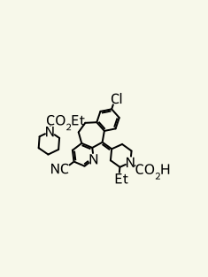 CCC1CC(=C2c3ccc(Cl)cc3CCc3cc(C#N)cnc32)CCN1C(=O)O.CCOC(=O)N1CCCCC1